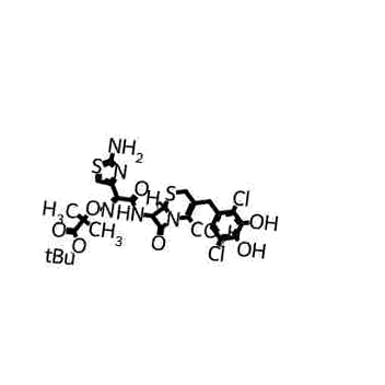 CC(C)(C)OC(=O)C(C)(C)ON=C(C(=O)NC1C(=O)N2C(C(=O)O)=C(Cc3cc(Cl)c(O)c(O)c3Cl)CS[C@@H]12)c1csc(N)n1